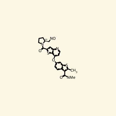 CNC(=O)c1c(C)sc2cc(Oc3ccnc4cc(C(=O)N5CCC[C@H]5CN=O)sc34)ccc12